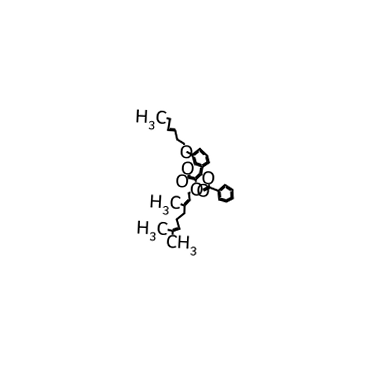 CCC=CCCOc1cccc2c(OC(=O)c3ccccc3)c(OC/C=C(\C)CCC=C(C)C)c(=O)oc12